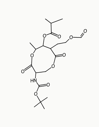 CC(C)C(=O)OC1C(C)OC(=O)C(NC(=O)OC(C)(C)C)COC(=O)C1CCOC=O